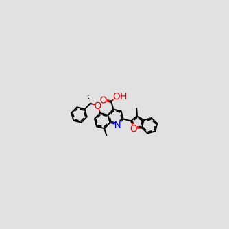 Cc1c(-c2cc(C(=O)O)c3c(O[C@@H](C)c4ccccc4)ccc(C)c3n2)oc2ccccc12